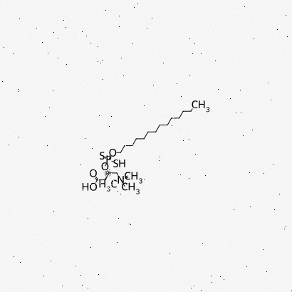 CCCCCCCCCCCCCCOP(=S)(S)O[C@H](CC(=O)O)C[N+](C)(C)C